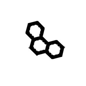 [c]1ccc2[c][c]c3ccccc3c2c1